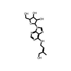 CC(=CCNc1ncnc2c1ncn2C1OC(CO)C(O)C1O)CO